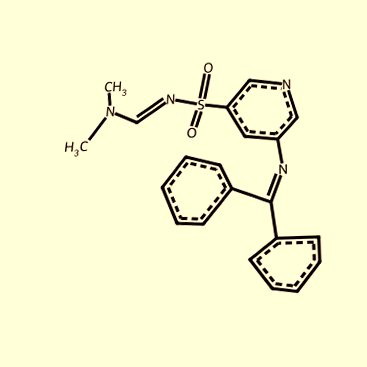 CN(C)C=NS(=O)(=O)c1cncc(N=C(c2ccccc2)c2ccccc2)c1